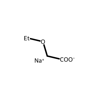 CCOCC(=O)[O-].[Na+]